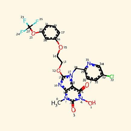 Cn1c(=O)n(O)c(=O)c2c1nc(OCCOc1cccc(OC(F)(F)F)c1)n2Cc1ccc(Cl)cn1